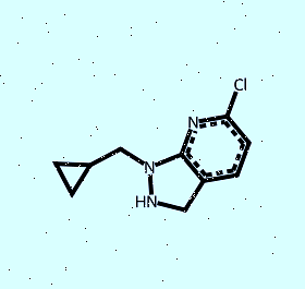 Clc1ccc2c(n1)N(CC1CC1)NC2